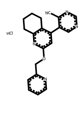 Cl.N#Cc1ncncc1-c1cc(OCc2ccccn2)nc2c1CCCC2